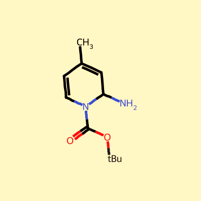 CC1=CC(N)N(C(=O)OC(C)(C)C)C=C1